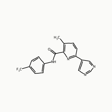 Cc1ccc(-c2cncnc2)nc1C(=O)Nc1ccc(C(F)(F)F)cc1